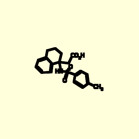 Cc1ccc(S(=O)(=O)NC2(CC(=O)O)CCCc3ccccc32)cc1